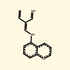 C=C/C(C=N)=C/Nc1cccc2ncccc12